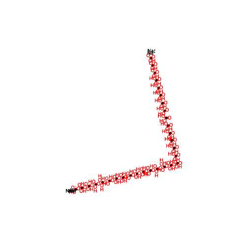 O=C(O)O.O=C(O)O.O=C(O)O.O=C(O)O.O=C(O)O.O=C(O)O.O=C(O)O.O=C(O)O.O=C(O)O.O=C(O)O.O=C(O)O.O=C(O)O.O=C(O)O.O=C(O)O.O=C(O)O.O=C(O)O.O=C(O)O.O=C(O)O.O=C(O)O.O=C(O)O.O=C(O)O.O=C(O)O.O=C(O)O.O=C(O)O.O=C(O)O.O=C([O-])O.O=C([O-])O.O=C([O-])O.O=C([O-])O.O=C([O-])O.[Na+].[Na+].[Na+].[Na+].[Na+]